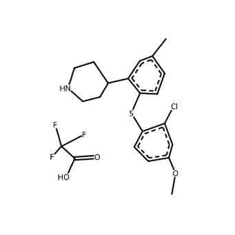 COc1ccc(Sc2ccc(C)cc2C2CCNCC2)c(Cl)c1.O=C(O)C(F)(F)F